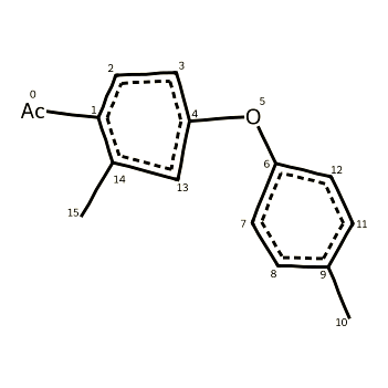 CC(=O)c1ccc(Oc2ccc(C)cc2)cc1C